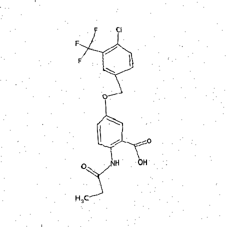 CCC(=O)Nc1ccc(OCc2ccc(Cl)c(C(F)(F)F)c2)cc1C(=O)O